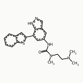 CN(C)CCN(C)C(=O)Nc1cc(-c2cc3ccccc3s2)c2[nH]ncc2c1